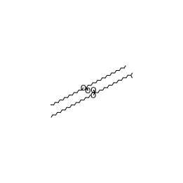 CCCCCCCCCCCCCCCCCC(=O)OCCCCCCCCCCCCCC.CCCCCCCCCCCCCCCCCCOC(=O)CCCCCCCCCCCCCCC(C)C